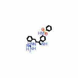 N=C(N)N/N=C(\Cc1ccccc1)c1c[nH]c2ccc(NS(=O)(=O)c3ccccc3)cc12